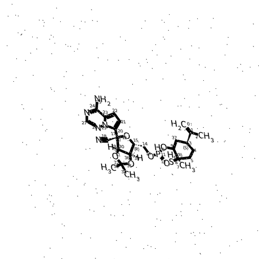 C=C(C)[C@H]1CC[C@@](C)(S)C(O[PH](=O)OC[C@H]2O[C@@](C#N)(c3ccc4c(N)ncnn34)[C@@H]3OC(C)(C)O[C@@H]32)C1